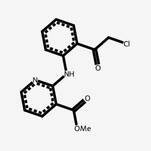 COC(=O)c1cccnc1Nc1ccccc1C(=O)CCl